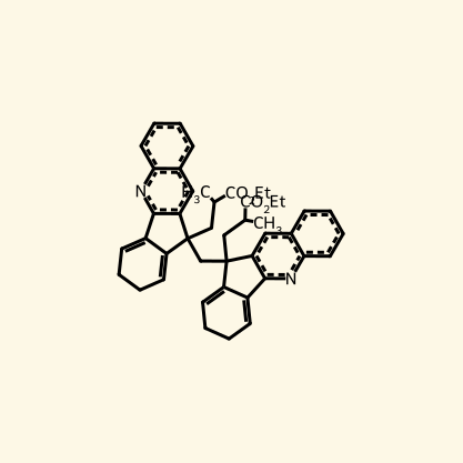 CCOC(=O)C(C)CC1(CC2(CC(C)C(=O)OCC)C3=CCCC=C3c3nc4ccccc4cc32)C2=CCCC=C2c2nc3ccccc3cc21